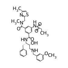 CCS(=O)(=O)Nc1cc(C(=O)N[C@@H](Cc2ccccc2)[C@H](O)CNCc2cccc(OC)c2)cc(C(=O)N(C)Cc2nc(C)cs2)c1